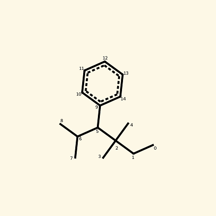 CCC(C)(C)C([C](C)C)c1ccccc1